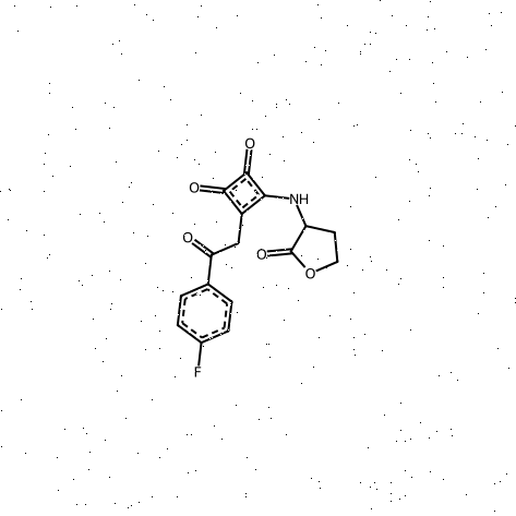 O=C(Cc1c(NC2CCOC2=O)c(=O)c1=O)c1ccc(F)cc1